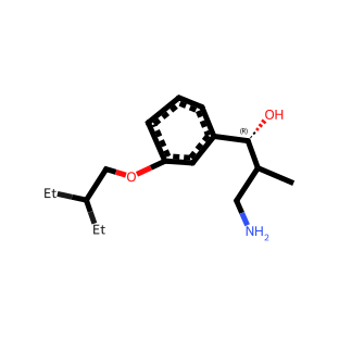 CCC(CC)COc1cccc([C@H](O)C(C)CN)c1